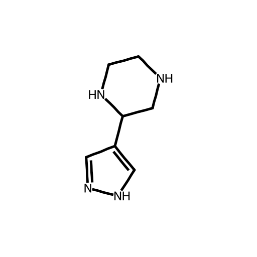 c1n[nH]cc1C1CNCCN1